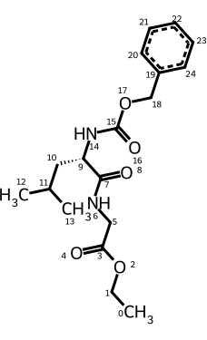 CCOC(=O)CNC(=O)[C@H](CC(C)C)NC(=O)OCc1ccccc1